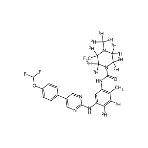 [2H]c1c(Nc2ncc(-c3ccc(OC(F)F)cc3)cn2)cc(NC(=O)N2C([2H])([2H])C([2H])([2H])N(C([2H])([2H])[2H])C([2H])(C(F)(F)F)C2([2H])[2H])c(C)c1[2H]